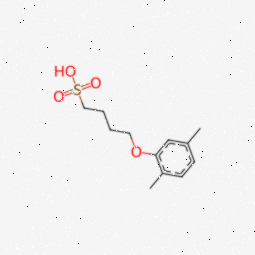 Cc1ccc(C)c(OCCCCS(=O)(=O)O)c1